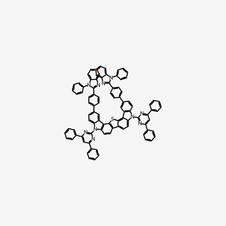 c1ccc(-c2cc(-c3ccccc3)nc(-n3c4ccc(-c5ccc(-c6nc7ccccc7n6-c6ccccc6)cc5)cc4c4c5sc6c(ccc7c6c6cc(-c8ccc(-c9nc%10ccccc%10n9-c9ccccc9)cc8)ccc6n7-c6nc(-c7ccccc7)cc(-c7ccccc7)n6)c5ccc43)n2)cc1